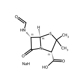 CC1(C)S[C@@H]2[C@@H](NC=O)C(=O)N2[C@H]1C(=O)O.[NaH]